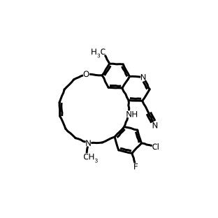 Cc1cc2ncc(C#N)c3c2cc1OCC/C=C\CCN(C)Cc1cc(F)c(Cl)cc1N3